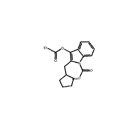 CCC(=O)Oc1c(CC2CCCC2)n(C(=O)OC)c2ccccc12